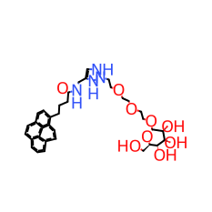 O=C(CCCc1ccc2ccc3cccc4ccc1c2c34)NCC1=CNN(CCOCCOCCO[C@@H]2O[C@H](CO)[C@@H](O)[C@H](O)[C@@H]2O)N1